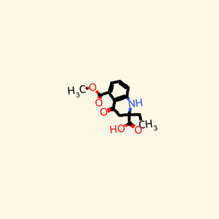 CCC1(C(=O)O)CC(=O)c2c(cccc2C(=O)OC)N1